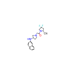 N#CC1CC(F)(F)CN1C(=O)CN1CCC(Nc2ccc3ccccc3c2)C1